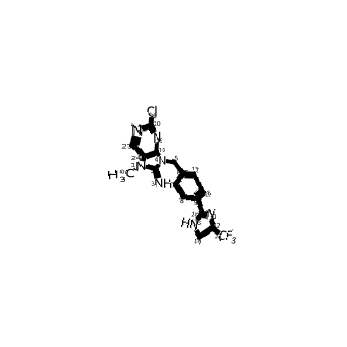 Cn1c(=N)n(Cc2ccc(-c3nc(C(F)(F)F)c[nH]3)cc2)c2nc(Cl)ncc21